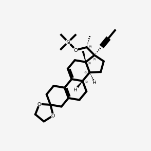 CC#C[C@]1([C@@H](C)O[Si](C)(C)C)CC[C@H]2[C@@H]3CCC4=C(CCC5(C4)OCCO5)C3=CC[C@@]21C